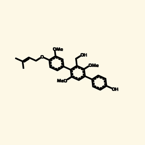 COc1cc(-c2c(OC)cc(-c3ccc(O)cc3)c(OC)c2CO)ccc1OCC=C(C)C